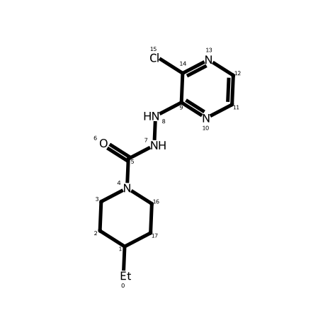 CCC1CCN(C(=O)NNc2nccnc2Cl)CC1